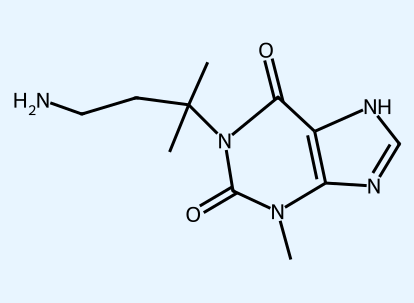 Cn1c(=O)n(C(C)(C)CCN)c(=O)c2[nH]cnc21